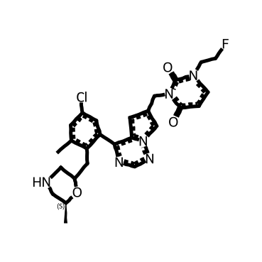 Cc1cc(Cl)cc(-c2ncnn3cc(Cn4c(=O)ccn(CCF)c4=O)cc23)c1CC1CNC[C@H](C)O1